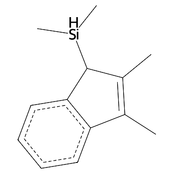 CC1=C(C)C([SiH](C)C)c2ccccc21